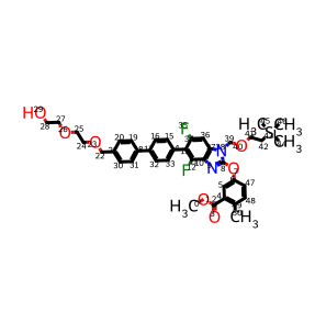 COC(=O)c1cc(Oc2nc3c(F)c(-c4ccc(-c5ccc(COCCOCCO)cc5)cc4)c(F)cc3n2COCC[Si](C)(C)C)ccc1C